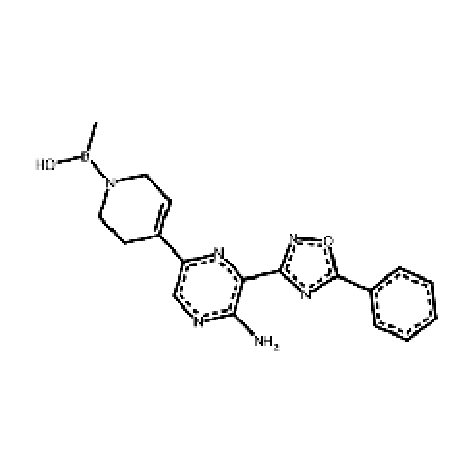 CB(O)N1CC=C(c2cnc(N)c(-c3noc(-c4ccccc4)n3)n2)CC1